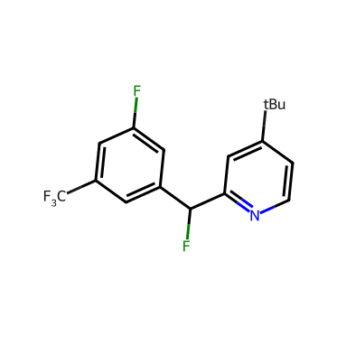 CC(C)(C)c1ccnc(C(F)c2cc(F)cc(C(F)(F)F)c2)c1